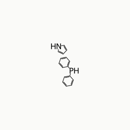 c1cc[nH]c1.c1ccc(Pc2ccccc2)cc1